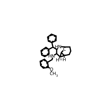 COc1ccccc1CNC1C(C(c2ccccc2)c2ccccc2)NC2CCC[C@H]3C(C2)[C@@H]13